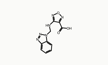 O=C(O)c1nonc1NCn1nnc2ccccc21